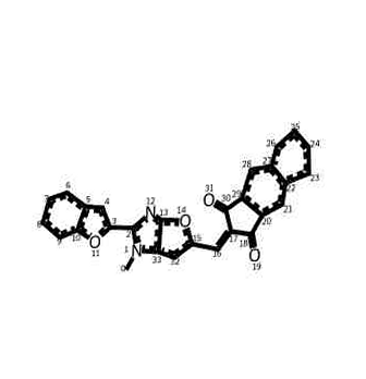 Cn1c(-c2cc3ccccc3o2)nc2oc(C=C3C(=O)c4cc5ccccc5cc4C3=O)cc21